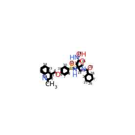 Cc1cc(COc2ccc([S+]([O-])NC3(CC(=O)NO)CN(C(=O)C4CCCCC4)C3)cc2)c2ccccc2n1